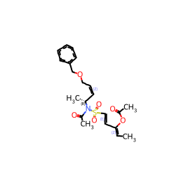 C/C=C(/C=C/S(=O)(=O)N(C(C)=O)[C@H](C)/C=C\COCc1ccccc1)OC(C)=O